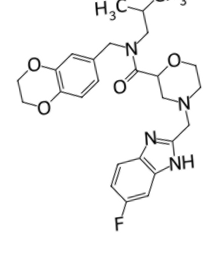 CC(C)CN(Cc1ccc2c(c1)OCCO2)C(=O)C1CN(Cc2nc3ccc(F)cc3[nH]2)CCO1